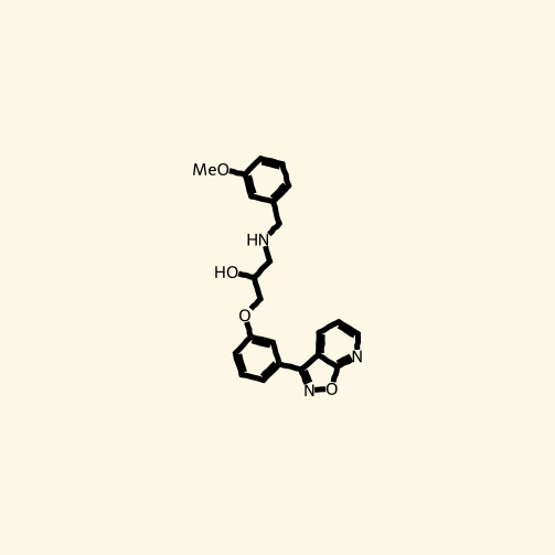 COc1cccc(CNCC(O)COc2cccc(-c3noc4ncccc34)c2)c1